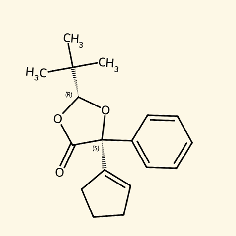 CC(C)(C)[C@H]1OC(=O)[C@](C2=CCCC2)(c2ccccc2)O1